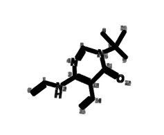 C=CNc1ncn(C(C)(C)C)c(=O)c1C=C